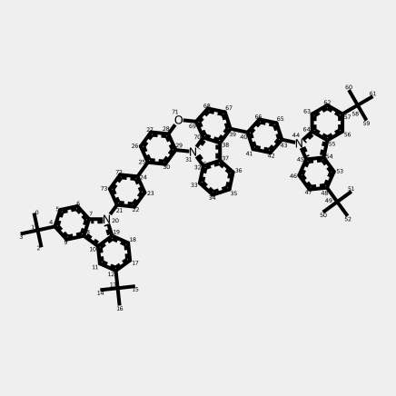 CC(C)(C)c1ccc2c(c1)c1cc(C(C)(C)C)ccc1n2-c1ccc(-c2ccc3c(c2)-n2c4ccccc4c4c(-c5ccc(-n6c7ccc(C(C)(C)C)cc7c7cc(C(C)(C)C)ccc76)cc5)ccc(c42)O3)cc1